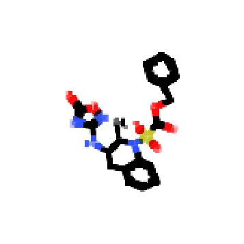 C[C@@H]1[C@H](Nc2nc(=O)o[nH]2)Cc2ccccc2N1S(=O)(=O)C(=O)OCc1ccccc1